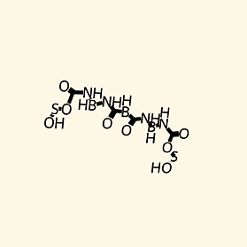 O=C(BC(=O)NBNC(=O)OSO)NBNC(=O)OSO